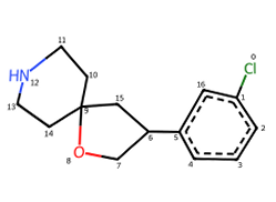 Clc1cccc(C2COC3(CCNCC3)C2)c1